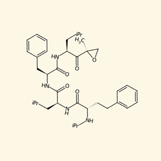 CC(C)C[C@H](NC(=O)[C@H](CCc1ccccc1)NC(C)C)C(=O)N[C@@H](Cc1ccccc1)C(=O)N[C@@H](CC(C)C)C(=O)[C@@]1(C)CO1